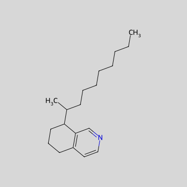 CCCCCCCCC(C)C1CCCc2ccncc21